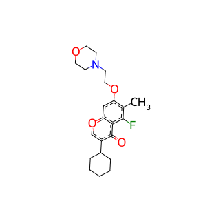 Cc1c(OCCN2CCOCC2)cc2occ(C3CCCCC3)c(=O)c2c1F